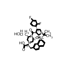 C[C@@H]1CN([C@@H](Cc2ccc3ccccc3c2)C(=O)O)C[C@H](C)N1C(=O)[C@@H]1CN(C(C)(C)C)C[C@H]1c1ccc(F)cc1F.Cl.Cl